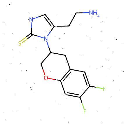 NCCC1=C[N]C(=S)N1C1COc2cc(F)c(F)cc2C1